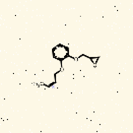 C/C=C\COc1ccccc1OCC1CO1